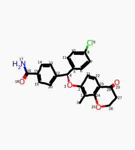 Cc1c(O[C@H](c2ccc(Cl)cc2)c2ccc(C(N)=O)cc2)ccc2c1OCCC2=O